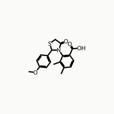 COc1ccc(C2SCC(=O)N2c2c(C(=O)O)ccc(C)c2C)cc1